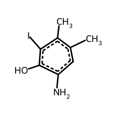 Cc1cc(N)c(O)c(I)c1C